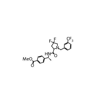 COC(=O)c1ccc([C@H](C)NC(=O)C2CC(F)(F)CN2Cc2cccc(C(F)(F)F)c2)cc1